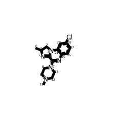 CC1CN2C(=N1)C(N1CCN(C)CC1)=Nc1ccc(Cl)cc12